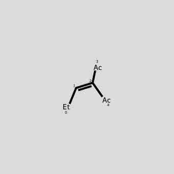 CCC=C(C(C)=O)C(C)=O